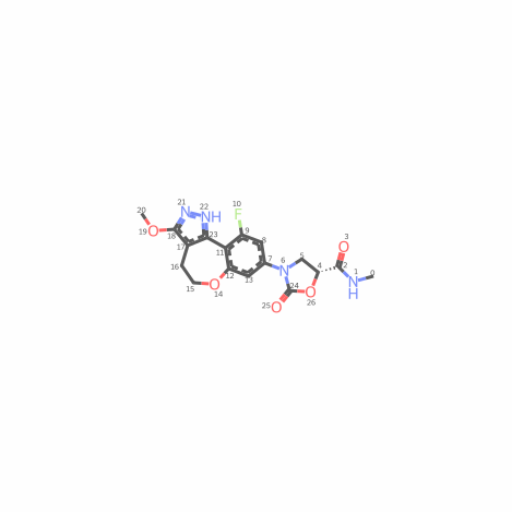 CNC(=O)[C@H]1CN(c2cc(F)c3c(c2)OCCc2c(OC)n[nH]c2-3)C(=O)O1